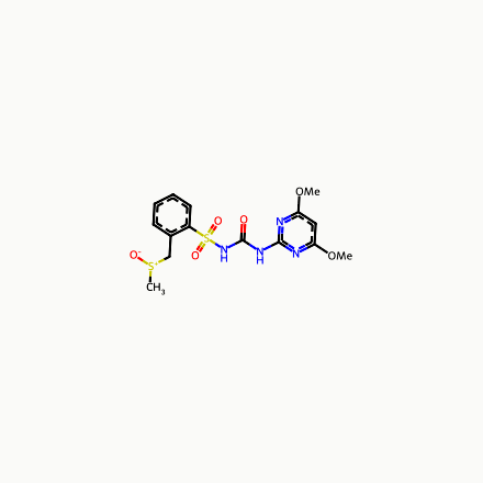 COc1cc(OC)nc(NC(=O)NS(=O)(=O)c2ccccc2C[S+](C)[O-])n1